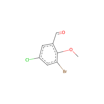 COc1c(Br)cc(Cl)cc1C=O